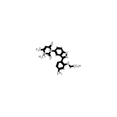 Cc1ccc(-c2noc3ccc(-n4c(=O)cc(C(F)(F)F)n(C)c4=O)cc23)c(OCC(=O)O)c1